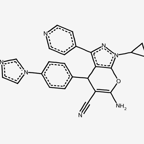 N#CC1=C(N)Oc2c(c(-c3ccncc3)nn2C2CC2)C1c1ccc(-n2ccnc2)cc1